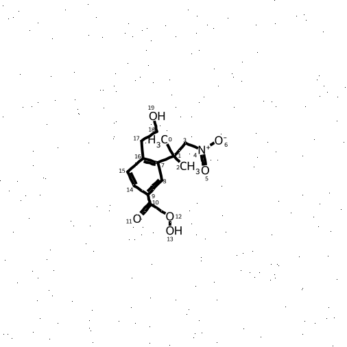 CC(C)(C[N+](=O)[O-])c1cc(C(=O)OO)ccc1CCO